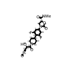 CNC(=O)[C@H]1CN(c2cc(F)c(C3=CCN(C(=O)[C@H](O)C#P=O)CC3)c(F)c2)C(=O)O1